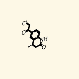 C[C@@H]1CC(=O)Nc2ccc(C(=O)CCl)cc21